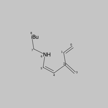 C=CC(=C)/C=C\NCC(C)CC